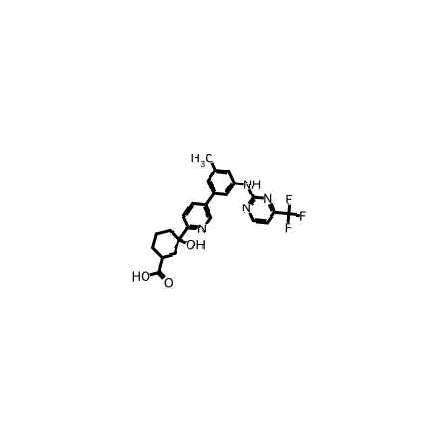 Cc1cc(Nc2nccc(C(F)(F)F)n2)cc(-c2ccc(C3(O)CCCC(C(=O)O)C3)nc2)c1